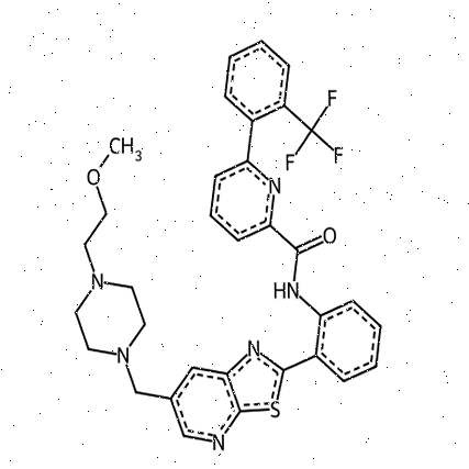 COCCN1CCN(Cc2cnc3sc(-c4ccccc4NC(=O)c4cccc(-c5ccccc5C(F)(F)F)n4)nc3c2)CC1